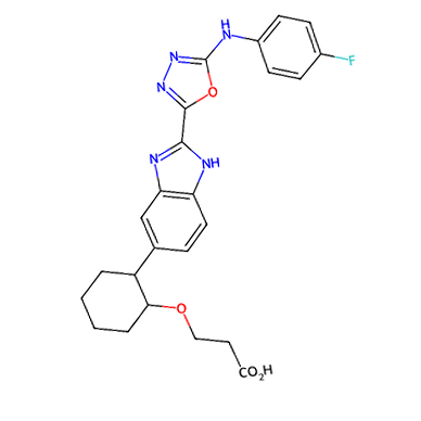 O=C(O)CCOC1CCCCC1c1ccc2[nH]c(-c3nnc(Nc4ccc(F)cc4)o3)nc2c1